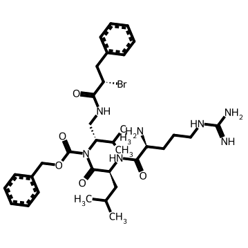 CC(C)C[C@H](NC(=O)[C@@H](N)CCCNC(=N)N)C(=O)N(C(=O)OCc1ccccc1)[C@H](CNC(=O)[C@@H](Br)Cc1ccccc1)C(C)C